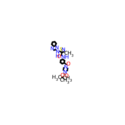 Cc1nsc(Nc2cnc3ccccc3n2)c1C(=O)Nc1cccc(C(=O)N2CCN(C(=O)OC(C)(C)C)CC2)c1